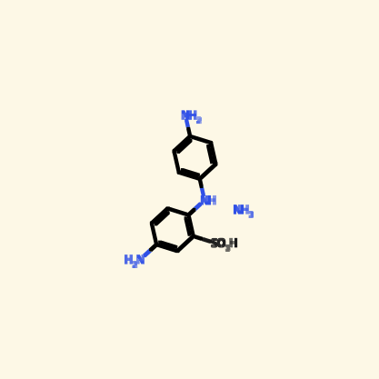 N.Nc1ccc(Nc2ccc(N)cc2S(=O)(=O)O)cc1